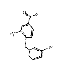 [CH2]c1cc([N+](=O)[O-])ccc1Sc1cccc(Br)c1